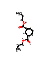 CCCOC(=O)C1=CCCC(C(=O)OCCC)C1